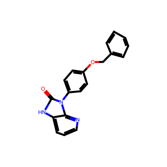 O=c1[nH]c2cccnc2n1-c1ccc(OCc2ccccc2)cc1